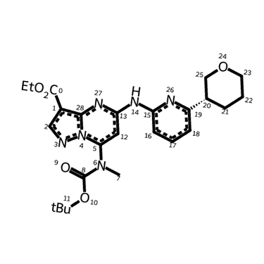 CCOC(=O)c1cnn2c(N(C)C(=O)OC(C)(C)C)cc(Nc3cccc([C@H]4CCCOC4)n3)nc12